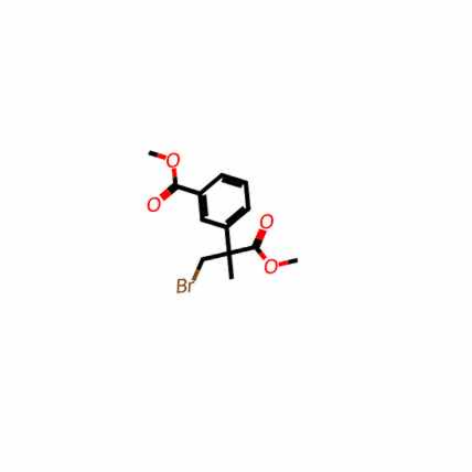 COC(=O)c1cccc(C(C)(CBr)C(=O)OC)c1